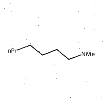 CCC[CH]CCCNC